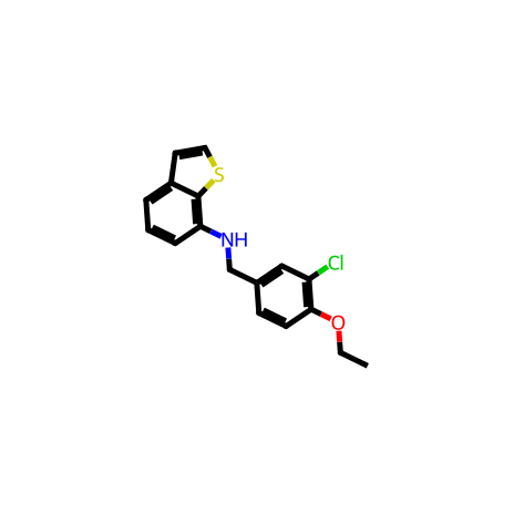 CCOc1ccc(CNc2cccc3ccsc23)cc1Cl